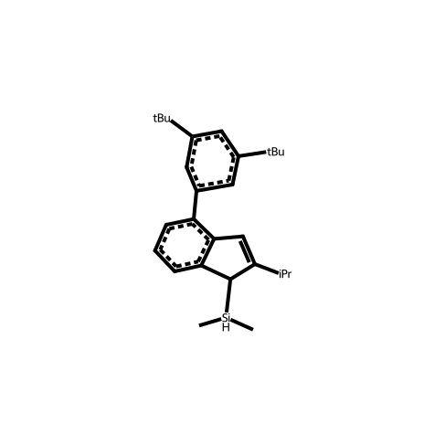 CC(C)C1=Cc2c(-c3cc(C(C)(C)C)cc(C(C)(C)C)c3)cccc2C1[SiH](C)C